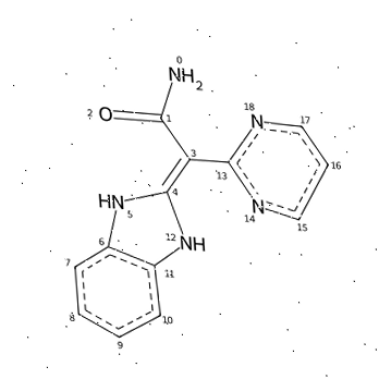 NC(=O)C(=C1Nc2ccccc2N1)c1ncccn1